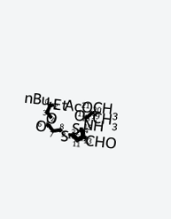 CCCCC(CC)COC(=O)CCSc1cc(C=O)c(NC(=O)C(C)(C)OC(C)=O)s1